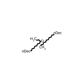 C=CCC(CCCCCCCCCCCCCCCCC)OC(CC=C)CCCCCCCCCCCCCCCCC